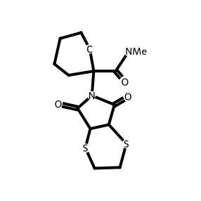 CNC(=O)C1(N2C(=O)C3SCCSC3C2=O)CCCCC1